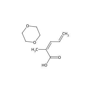 C1COCCO1.C=CC=C(C)C(=O)O